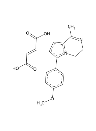 COc1ccc(-c2ccc3n2CCN=C3C)cc1.O=C(O)/C=C/C(=O)O